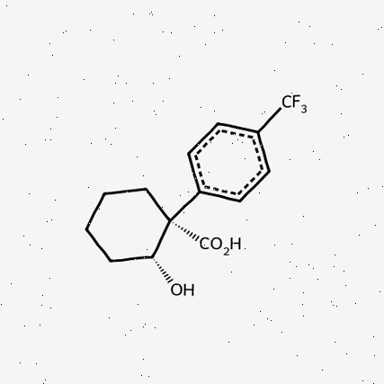 O=C(O)[C@@]1(c2ccc(C(F)(F)F)cc2)CCCC[C@H]1O